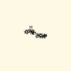 O=C(CCCc1nnc(NC2Cc3ccccc3C2)s1)N1CCC(c2cnc[nH]2)CC1